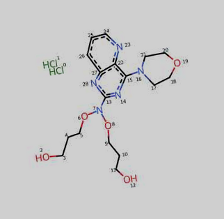 Cl.Cl.OCCCON(OCCCO)c1nc(N2CCOCC2)c2ncccc2n1